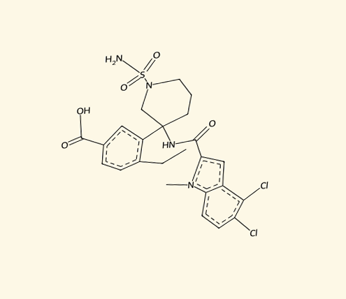 CCc1ccc(C(=O)O)cc1C1(NC(=O)c2cc3c(Cl)c(Cl)ccc3n2C)CCCN(S(N)(=O)=O)C1